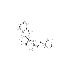 C/C(=C/Cc1ccccc1)Nc1cccc2c1oc1ccccc12